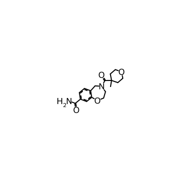 CC1(C(=O)N2CCOc3cc(C(N)=O)ccc3C2)CCOCC1